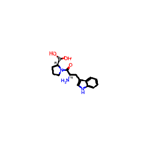 N[C@@H](Cc1c[nH]c2ccccc12)C(=O)N1CCC[C@H]1B(O)O